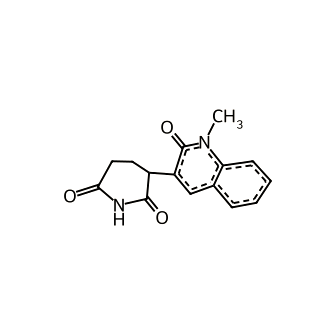 Cn1c(=O)c(C2CCC(=O)NC2=O)cc2ccccc21